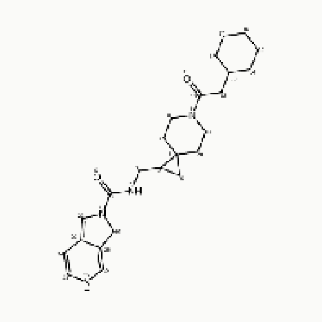 O=C(NCC1CC12CCN(C(=O)CC1CCCCC1)CC2)N1C=C2C=CNC=C2C1